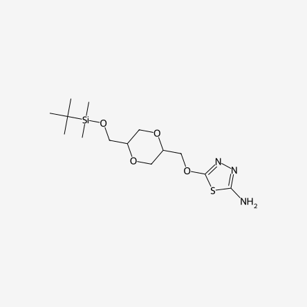 CC(C)(C)[Si](C)(C)OCC1COC(COc2nnc(N)s2)CO1